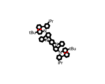 CC(C)c1ccc(N(c2ccc(C(C)(C)C)cc2)c2ccc3c4cc5c(cc4n4c6ccccc6c2c34)c2ccc(N(c3ccc(C(C)(C)C)cc3)c3ccc(C(C)C)cc3-c3ccccc3)c3c4ccccc4n5c23)c(-c2ccccc2)c1